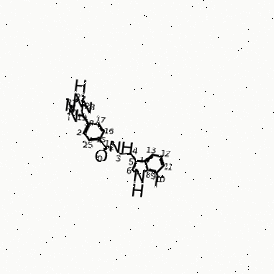 O=C(NCCc1c[nH]c2c(F)cccc12)c1ccc(-c2nn[nH]n2)cc1